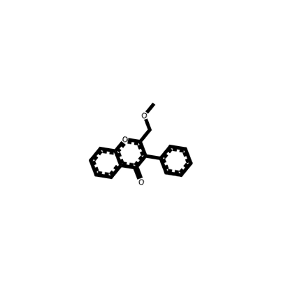 COCc1oc2ccccc2c(=O)c1-c1ccccc1